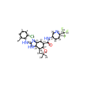 Cc1cccc(Cl)c1Nc1nc2cc(C(=O)Nc3ccc(C(F)(F)F)nc3)c3c(c2[nH]1)CC(C)(C)O3